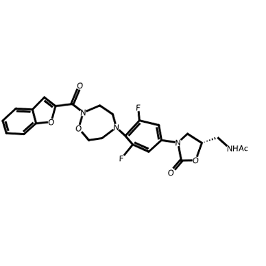 CC(=O)NC[C@H]1CN(c2cc(F)c(N3CCON(C(=O)c4cc5ccccc5o4)CC3)c(F)c2)C(=O)O1